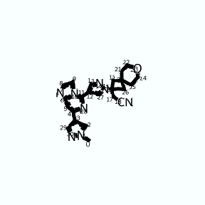 Cn1cc(-c2cc3nccn3c(-c3cnn(C4(CC#N)CC5(CCOCC5)C4)c3)n2)cn1